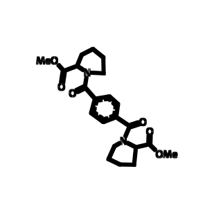 COC(=O)C1CCCCN1C(=O)c1ccc(C(=O)N2CCCCC2C(=O)OC)cc1